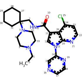 CCN1CCN(C2(CNC(=O)c3cn(-c4cnccn4)c4nccc(Cl)c34)CCCCC2)CC1